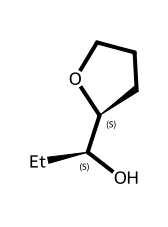 CC[C@H](O)[C@@H]1CCCO1